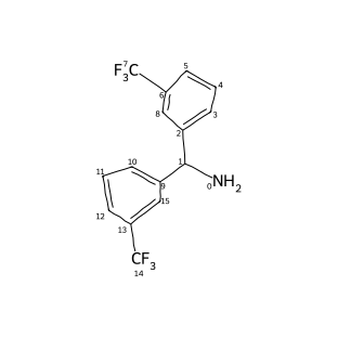 NC(c1cccc(C(F)(F)F)c1)c1cccc(C(F)(F)F)c1